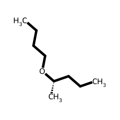 CCCCO[C@@H](C)CCC